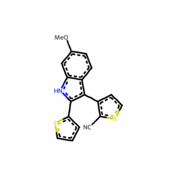 COc1ccc2c(-c3ccsc3C#N)c(-c3cccs3)[nH]c2c1